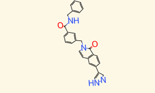 O=C(NCc1ccccc1)c1cccc(Cn2ccc3cc(-c4cn[nH]c4)ccc3c2=O)c1